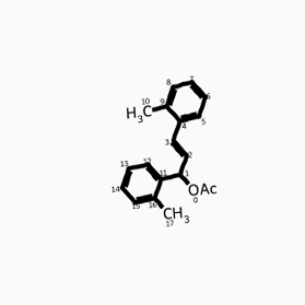 CC(=O)OC(/C=C/c1ccccc1C)c1ccccc1C